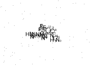 CN1CCC(Nc2cccc3c2C=C(c2nnc(CNc4cn[nH]c4)o2)C(CC(F)(F)F)CC3)CC1